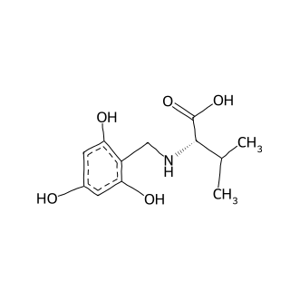 CC(C)[C@H](NCc1c(O)cc(O)cc1O)C(=O)O